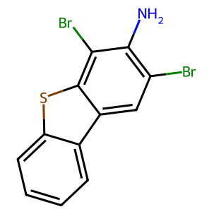 Nc1c(Br)cc2c(sc3ccccc32)c1Br